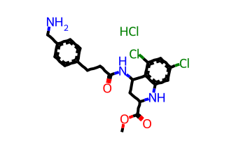 COC(=O)C1CC(NC(=O)CCc2ccc(CN)cc2)c2c(Cl)cc(Cl)cc2N1.Cl